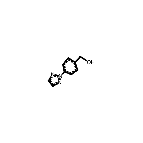 OCc1ccc(-n2nccn2)cc1